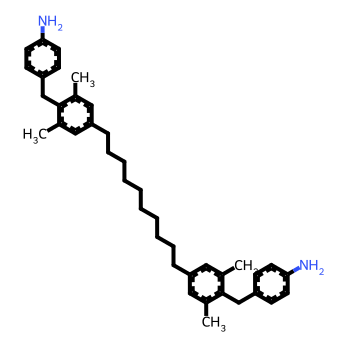 Cc1cc(CCCCCCCCCCc2cc(C)c(Cc3ccc(N)cc3)c(C)c2)cc(C)c1Cc1ccc(N)cc1